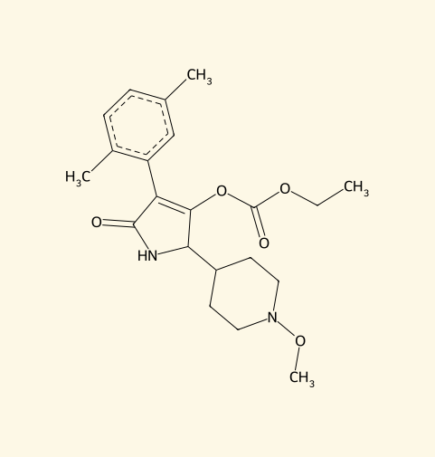 CCOC(=O)OC1=C(c2cc(C)ccc2C)C(=O)NC1C1CCN(OC)CC1